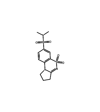 CN(C)S(=O)(=O)c1ccc2c(c1)S(=O)(=O)N=C1CCCN12